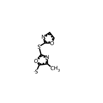 Cc1nc(Sc2ncco2)oc1[S]